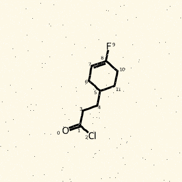 O=C(Cl)CCC1CC=C(F)CC1